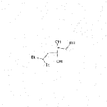 CCC(CC)CC(O)C(O)CO